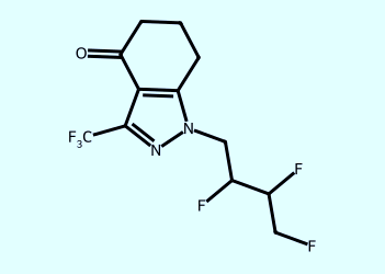 O=C1CCCc2c1c(C(F)(F)F)nn2CC(F)C(F)CF